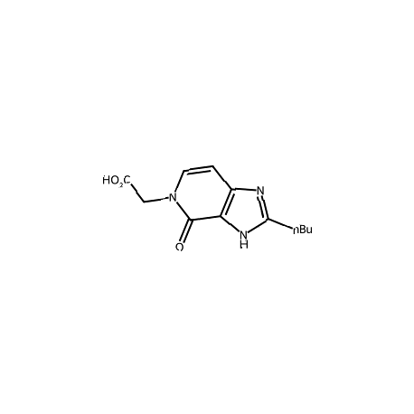 CCCCc1nc2ccn(CC(=O)O)c(=O)c2[nH]1